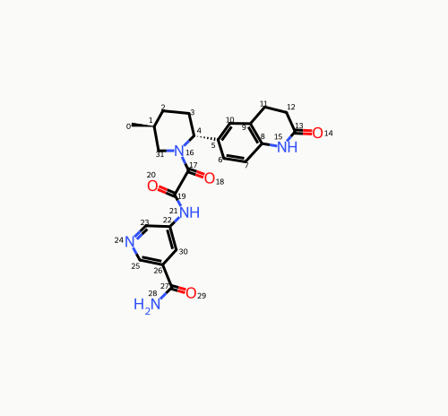 C[C@H]1CC[C@H](c2ccc3c(c2)CCC(=O)N3)N(C(=O)C(=O)Nc2cncc(C(N)=O)c2)C1